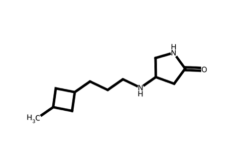 CC1CC(CCCNC2CNC(=O)C2)C1